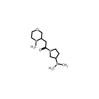 CN(C)C1CCN(C(=O)CC2COCCN2C)C1